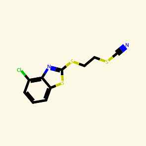 N#CSCCSc1nc2c(Cl)cccc2s1